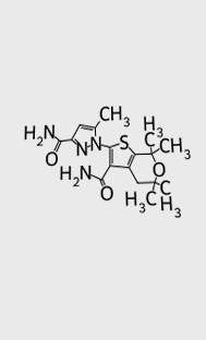 Cc1cc(C(N)=O)nn1-c1sc2c(c1C(N)=O)CC(C)(C)OC2(C)C